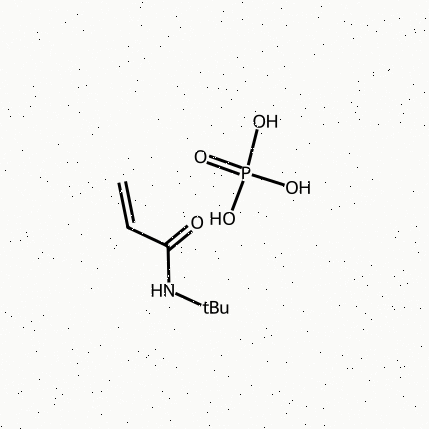 C=CC(=O)NC(C)(C)C.O=P(O)(O)O